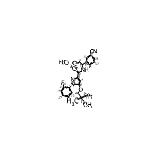 CC(C)C(C)(O)COc1cc(C(=O)NC(CC(=O)O)c2cccc(C#N)c2)nn1-c1ccccc1F